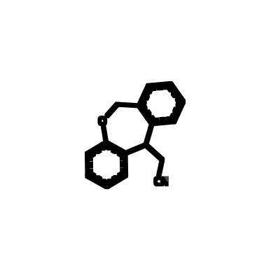 N#CCC1c2ccccc2COc2ccccc21